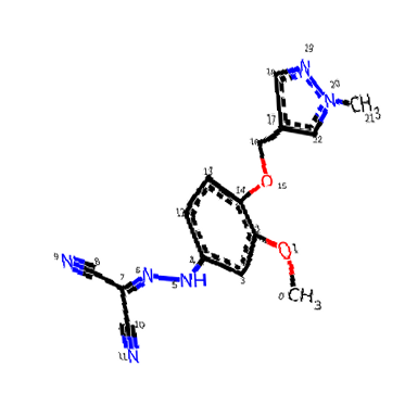 COc1cc(NN=C(C#N)C#N)ccc1OCc1cnn(C)c1